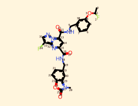 CC(F)Oc1cccc(CNC(=O)c2cc(C(=O)NCc3ccc4oc(=O)n(C)c4c3)nc3c(F)cnn23)c1